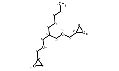 CCCCCC(COCC1CO1)COCC1CO1